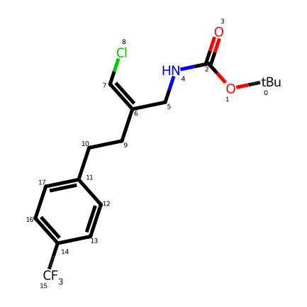 CC(C)(C)OC(=O)NCC(=CCl)CCc1ccc(C(F)(F)F)cc1